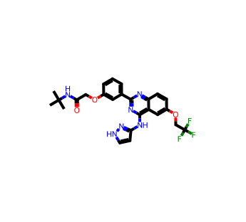 CC(C)(C)NC(=O)COc1cccc(-c2nc(Nc3cc[nH]n3)c3cc(OCC(F)(F)F)ccc3n2)c1